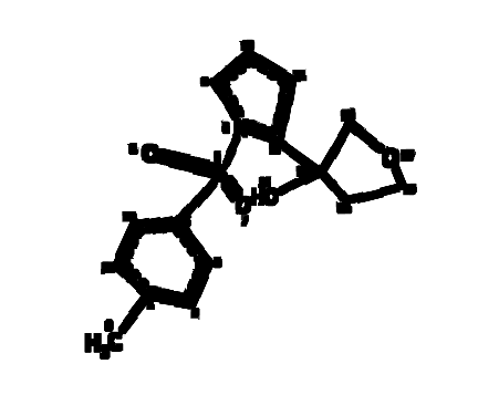 Cc1ccc(S(=O)(=O)n2cccc2C2(O)CCOC2)cc1